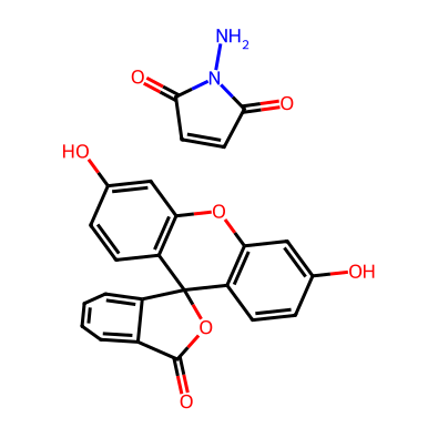 NN1C(=O)C=CC1=O.O=C1OC2(c3ccc(O)cc3Oc3cc(O)ccc32)c2ccccc21